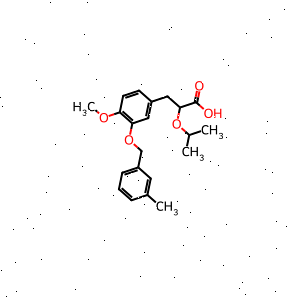 COc1ccc(CC(OC(C)C)C(=O)O)cc1OCc1cccc(C)c1